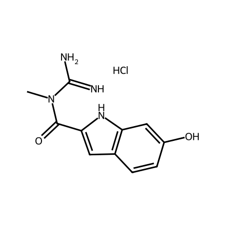 CN(C(=N)N)C(=O)c1cc2ccc(O)cc2[nH]1.Cl